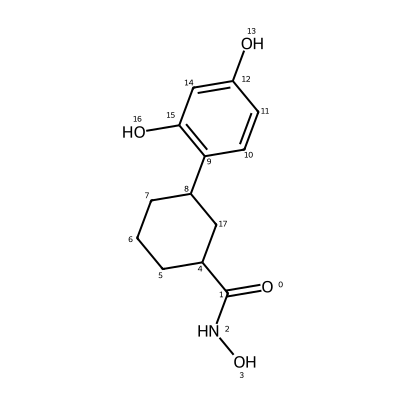 O=C(NO)C1CCCC(c2ccc(O)cc2O)C1